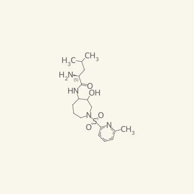 Cc1cccc(S(=O)(=O)N2CCCC(NC(=O)[C@@H](N)CC(C)C)C(O)C2)n1